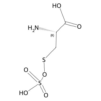 N[C@@H](CSOS(=O)(=O)O)C(=O)O